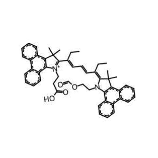 CCC(/C=C/C=C(\CC)C1=[N+](CCC(=O)O)c2c(c3ccccc3c3ccccc23)C1(C)C)=C1/N(CCOC=O)c2c(c3ccccc3c3ccccc23)C1(C)C